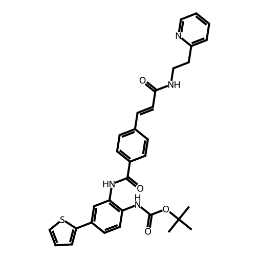 CC(C)(C)OC(=O)Nc1ccc(-c2cccs2)cc1NC(=O)c1ccc(C=CC(=O)NCCc2ccccn2)cc1